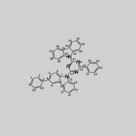 c1ccc(-c2ccc3c(c2)c2ccccc2n3-c2nc(-c3ccccc3)nc(-n3c4ccccc4c4ccccc43)n2)cc1